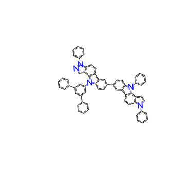 c1ccc(-c2cc(-c3ccccc3)cc(-n3c4ccc(-c5ccc6c(c5)c5ccc7c(ccn7-c7ccccc7)c5n6-c5ccccc5)cc4c4ccc5c(cnn5-c5ccccc5)c43)c2)cc1